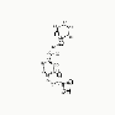 O=C(O)C1CCc2ccc(CCCOC3CCCCO3)cc2O1